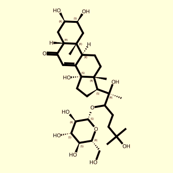 CC(C)(O)CCC(O[C@@H]1O[C@H](CO)[C@@H](O)[C@H](O)[C@H]1O)[C@](C)(O)[C@H]1CC[C@@]2(O)C3=CC(=O)[C@@H]4C[C@@H](O)[C@@H](O)C[C@]4(C)[C@H]3CC[C@]12C